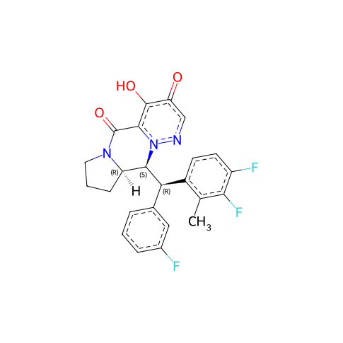 Cc1c([C@@H](c2cccc(F)c2)[C@H]2[C@H]3CCCN3C(=O)c3c(O)c(=O)cnn32)ccc(F)c1F